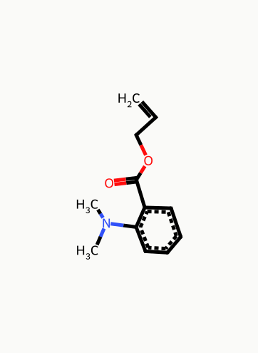 C=CCOC(=O)c1ccccc1N(C)C